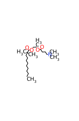 CCCCCCCCCCC(C)(C)C(=O)OCC(C)OC(=O)CCCN(C)C